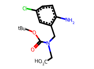 CC(C)(C)OC(=O)N(CC(=O)O)Cc1cc(Cl)ccc1N